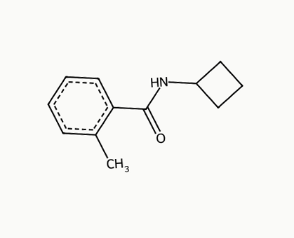 Cc1ccccc1C(=O)NC1CCC1